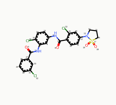 O=C(Nc1cc(NC(=O)c2ccc(N3CCCS3(=O)=O)cc2Cl)ccc1Cl)c1cccc(Cl)c1